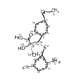 COc1ccc([C@H](Sc2cc(Cl)ccc2N)[C@@](C)(O)C(=O)O)cc1